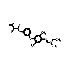 CCN(C)C=Nc1cc(C)c(Oc2cccc(SC(F)C(F)C(F)F)c2)cc1C